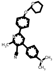 Cc1nc(-c2ccc(OC3CCCCO3)cc2)cc(-c2ccc(N(C)C)cc2)c1C#N